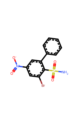 NS(=O)(=O)c1c(Br)cc([N+](=O)[O-])cc1-c1ccccc1